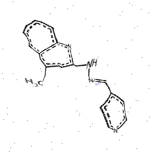 Cc1cc(N/N=C/c2ccncc2)nc2ccccc12